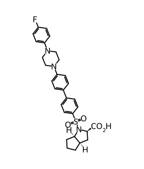 O=C(O)[C@H]1C[C@H]2CCC[C@H]2N1S(=O)(=O)c1ccc(-c2ccc(N3CCN(c4ccc(F)cc4)CC3)cc2)cc1